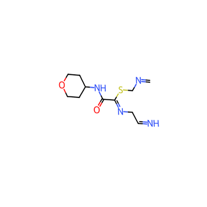 C=NCS/C(=N\CC=N)C(=O)NC1CCOCC1